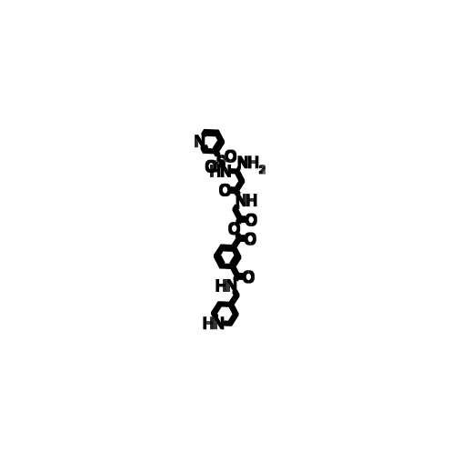 N[C@H](CC(=O)NCC(=O)OC(=O)c1cccc(C(=O)NCC2CCNCC2)c1)NS(=O)(=O)c1cccnc1